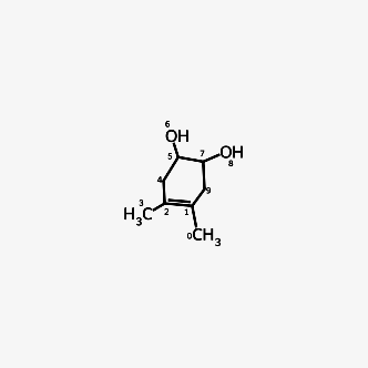 CC1=C(C)CC(O)C(O)C1